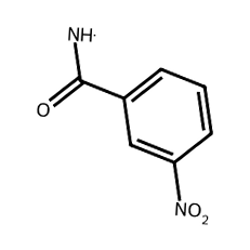 [NH]C(=O)c1cccc([N+](=O)[O-])c1